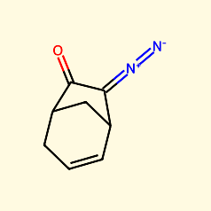 [N-]=[N+]=C1C(=O)C2CC=CC1C2